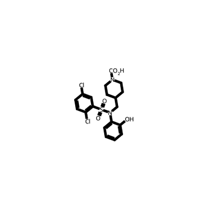 O=C(O)N1CCC(CN(c2ccccc2O)S(=O)(=O)c2cc(Cl)ccc2Cl)CC1